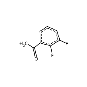 [CH2]C(=O)c1cccc(F)c1F